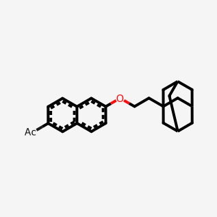 CC(=O)c1ccc2cc(OCCC34CC5CC(CC(C5)C3)C4)ccc2c1